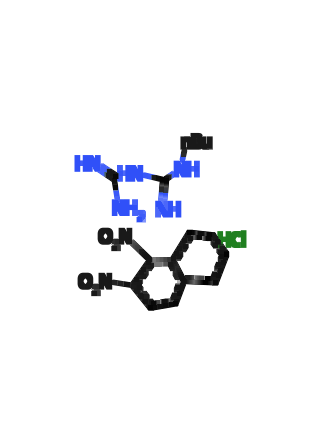 CCCCNC(=N)NC(=N)N.Cl.O=[N+]([O-])c1ccc2ccccc2c1[N+](=O)[O-]